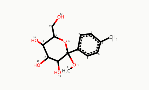 COC1(c2ccc(C)cc2)OC(CO)C(O)C(O)C1O